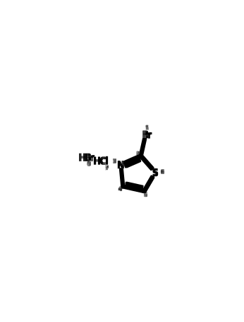 Br.Brc1nccs1.Cl